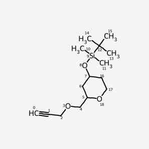 C#CCOCC1CC(O[Si](C)(C)C(C)(C)C)CCO1